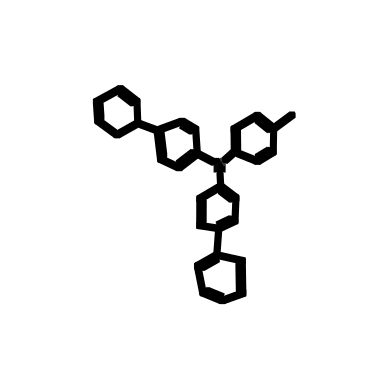 Cc1ccc(N(c2ccc(-c3ccccc3)cc2)c2ccc(C3C=CC=CC3)cc2)cc1